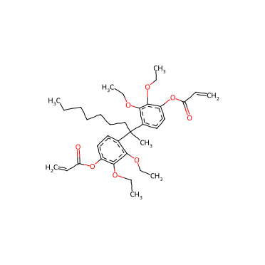 C=CC(=O)Oc1ccc(C(C)(CCCCCCC)c2ccc(OC(=O)C=C)c(OCC)c2OCC)c(OCC)c1OCC